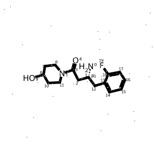 N[C@@H](CC(=O)N1CCC(O)CC1)Cc1ccccc1F